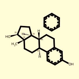 C[C@]12CC[C@@H]3c4ccc(O)cc4CC[C@H]3[C@@H]1CC[C@@H]2O.c1ccccc1